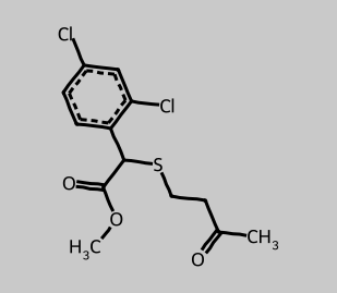 COC(=O)C(SCCC(C)=O)c1ccc(Cl)cc1Cl